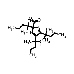 CCCC(C)(C)C1=NC(C(=O)O)(C(C)(C)CCC)N=C1C(C)(C)CCC